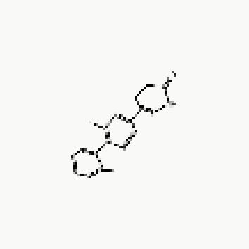 Cc1ccccc1-c1ccc(C2=NNC(=O)CC2)cc1C